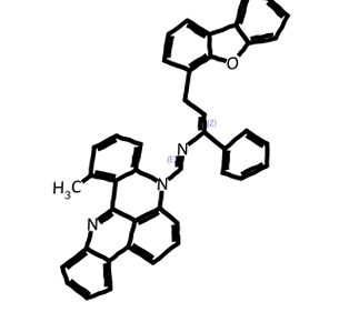 Cc1cccc2c1-c1nc3ccccc3c3cccc(c13)N2/C=N/C(=C\Cc1cccc2c1oc1ccccc12)c1ccccc1